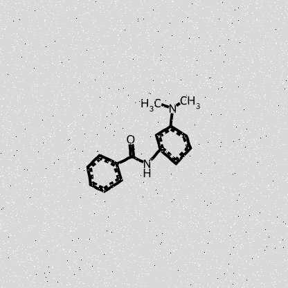 CN(C)c1cccc(NC(=O)c2ccccc2)c1